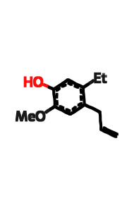 C=CCc1cc(OC)c(O)cc1CC